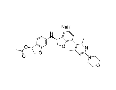 CC(=O)O[C@@H]1COc2cc(N[C@@H]3COc4c(-c5c(C)nc(N6CCOCC6)nc5C)cccc43)ccc21.[NaH]